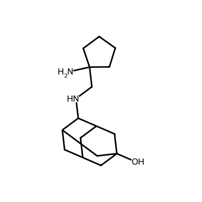 NC1(CNC2C3CC4CC2CC(O)(C4)C3)CCCC1